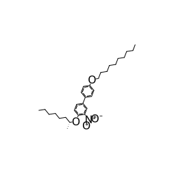 CCCCCCCCCCOc1ccc(-c2ccc(O[C@H](C)CCCCCC)c([N+](=O)[O-])c2)cc1